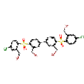 O=S(=O)(c1ccc(Cl)cc1CBr)c1ccc(-c2ccc(S(=O)(=O)c3ccc(Cl)cc3CBr)c(CBr)c2)cc1CBr